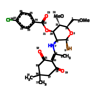 COC[C@H]1O[C@@H](S)[C@@H](NC(C)=C2C(=O)CC(C)(C)CC2=O)[C@@H](OC(=O)c2ccc(Cl)cc2)[C@@H]1OC